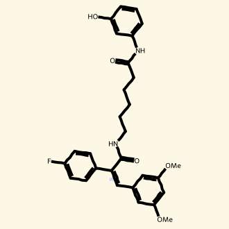 COc1cc(/C=C(\C(=O)NCCCCCC(=O)Nc2cccc(O)c2)c2ccc(F)cc2)cc(OC)c1